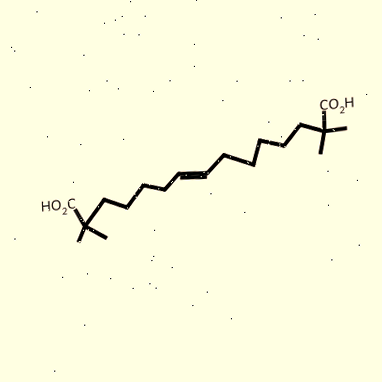 CC(C)(CCCC/C=C/CCCCCC(C)(C)C(=O)O)C(=O)O